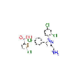 NCC1=NN(c2ccc(Cl)cc2Cl)C(c2ccc(Cl)cc2)C1.O=C(O)c1ccc(Cl)s1